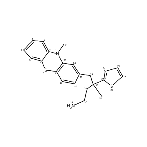 CN1c2ccccc2Sc2ccc(CC(C)(CCN)c3nccs3)cc21